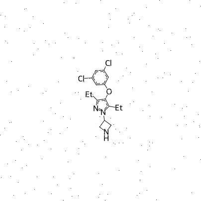 CCc1nn(C2CNC2)c(CC)c1Oc1cc(Cl)cc(Cl)c1